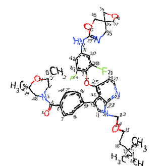 C[C@@H]1CN(C(=O)c2ccc(-c3cn(COCC[Si](C)(C)C)c4nccc(Oc5c(F)cc(NC6=NCC7(COC7)CO6)cc5F)c34)cc2)C[C@H](C)O1